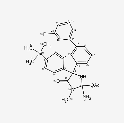 CC(=O)OC1(N)NC(c2ccc([Si](C)(C)C)cc2)(c2cccc(-c3cncc(F)c3)c2)C(=O)N1C